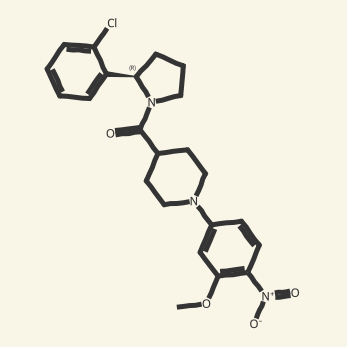 COc1cc(N2CCC(C(=O)N3CCC[C@@H]3c3ccccc3Cl)CC2)ccc1[N+](=O)[O-]